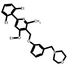 CCOc1cc(-c2c(CC)cccc2CC)nc(C)c1COc1cccc(CN2CCOCC2)c1